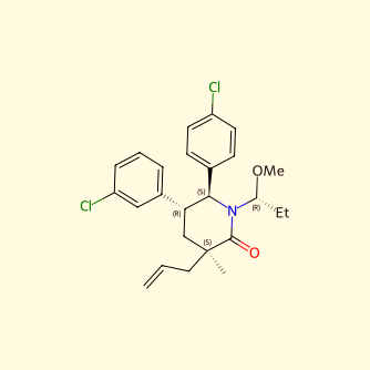 C=CC[C@@]1(C)C[C@H](c2cccc(Cl)c2)[C@@H](c2ccc(Cl)cc2)N([C@@H](CC)OC)C1=O